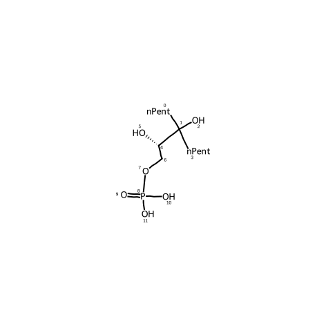 CCCCCC(O)(CCCCC)[C@@H](O)COP(=O)(O)O